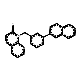 O=c1cnc2cccnc2n1Cc1cccc(-c2ccc3cnccc3c2)c1